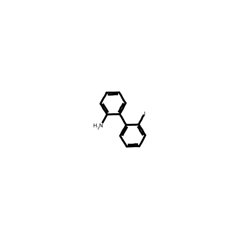 Nc1ccccc1-c1ccccc1I